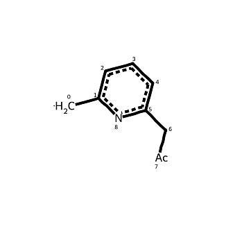 [CH2]c1cccc(CC(C)=O)n1